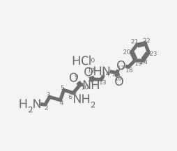 Cl.NCCCC[C@H](N)C(=O)NC(=O)CNC(=O)OCc1ccccc1